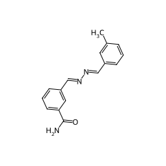 Cc1cccc(C=NN=Cc2cccc(C(N)=O)c2)c1